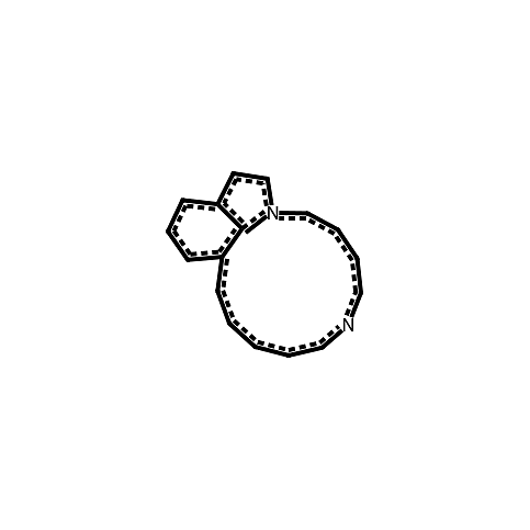 c1ccnccccn2ccc3cccc(cc1)c32